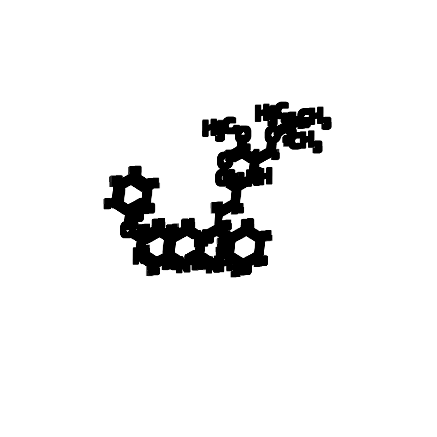 COC(=O)C(COC(C)(C)C)NC(=O)CC[C@@H](C1CCCCC1)N1Cc2cc(Oc3ccccc3)ncc2N=C1N